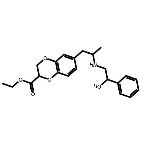 CCOC(=O)C1COc2cc(CC(C)NCC(O)c3ccccc3)ccc2O1